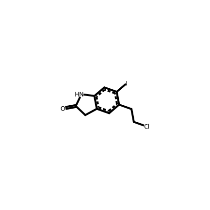 O=C1Cc2cc(CCCl)c(I)cc2N1